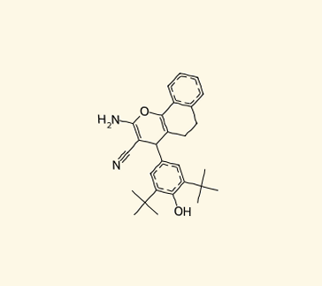 CC(C)(C)c1cc(C2C(C#N)=C(N)OC3=C2CCc2ccccc23)cc(C(C)(C)C)c1O